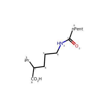 CCCCCC(=O)NCCCC(C(=O)O)C(C)C